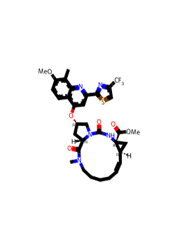 COC(=O)[C@@]12C[C@H]1C=CCCCCN(C)C(=O)[C@@H]1C[C@H](Oc3cc(-c4nc(C(F)(F)F)cs4)nc4c(C)c(OC)ccc34)CN1C(=O)N2